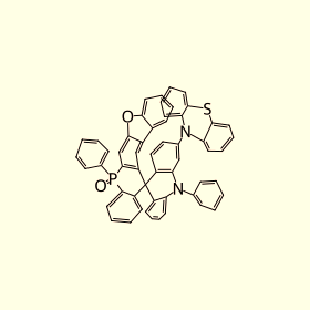 O=P1(c2ccccc2)c2ccccc2C2(c3ccccc3N(c3ccccc3)c3cc(N4c5ccccc5Sc5ccccc54)ccc32)c2cc3c(cc21)oc1ccccc13